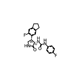 O=C(Nc1ccc(F)cc1)N[C@@H]1C(=O)NC[C@H]1c1cc2c(cc1F)CCC2